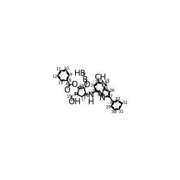 B=BO[C@@H]1[C@H](OC(=O)c2ccccc2)[C@@H](CO)C[C@H]1Nc1cc(C)nc2cc(-c3ccccc3)nn12